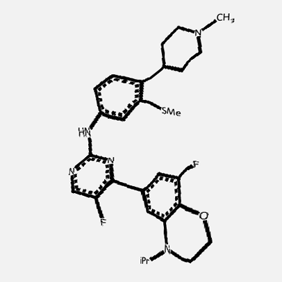 CSc1cc(Nc2ncc(F)c(-c3cc(F)c4c(c3)N(C(C)C)CCO4)n2)ccc1C1CCN(C)CC1